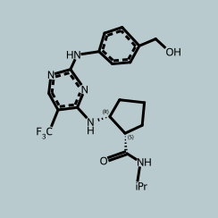 CC(C)NC(=O)[C@H]1CCC[C@H]1Nc1nc(Nc2ccc(CO)cc2)ncc1C(F)(F)F